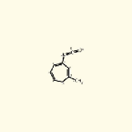 CC1=CC(N=C=O)=CC=CC1